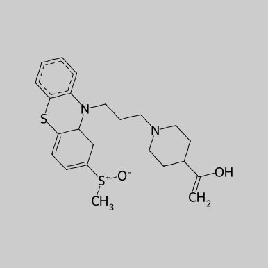 C=C(O)C1CCN(CCCN2c3ccccc3SC3=CC=C([S+](C)[O-])CC32)CC1